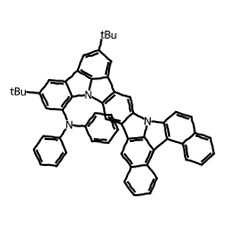 CC(C)(C)c1cc(N(c2ccccc2)c2ccccc2)c2c(c1)c1cc(C(C)(C)C)cc3c4cc5c(cc4n2c31)c1cc2ccccc2c2c3c4ccccc4ccc3n5c12